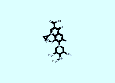 CNC1C(C)CN(c2c(F)cc3c(=O)c(C(=O)O)cn(C4CC4)c3c2OC)CC1C